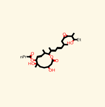 CCCC(=O)OC1/C=C/C(C)C(/C(C)=C/C=C/C(C)CC2OC2C(C)C(O)CC)OC(=O)CC(O)CCC1(C)O